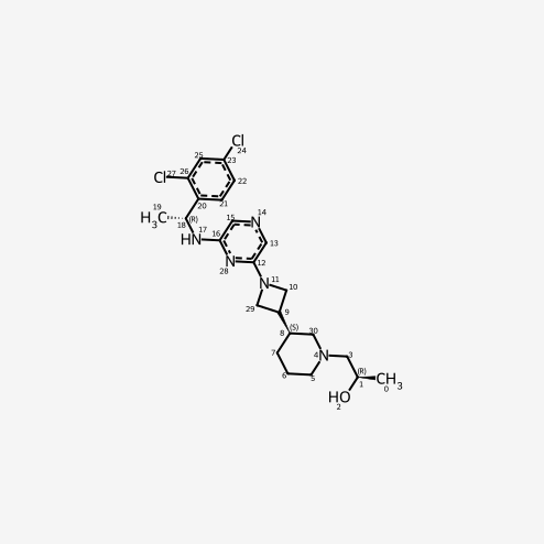 C[C@@H](O)CN1CCC[C@@H](C2CN(c3cncc(N[C@H](C)c4ccc(Cl)cc4Cl)n3)C2)C1